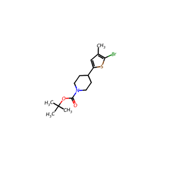 Cc1cc(C2CCN(C(=O)OC(C)(C)C)CC2)sc1Br